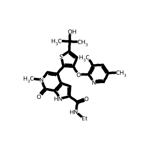 CCNC(=O)c1cc2c(-c3sc(C(C)(C)O)cc3Oc3ncc(C)cc3C)cn(C)c(=O)c2[nH]1